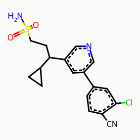 N#Cc1ccc(-c2cncc(C(CCS(N)(=O)=O)C3CC3)c2)cc1Cl